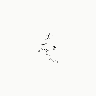 CCCCOP([O-])OCCCC.[Na+]